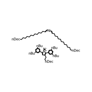 CCCCCCCCCCCCC1=C(c2cc(CCCC)cc(CCCC)c2)[N+](=[N-])C(c2cc(CCCC)cc(CCCC)c2)=C1.CCCCCCCCCCCCCCCCCCCCCCC=[CH][Ni][CH]=CCCCCCCCCCCCCCCCCCCCCCC